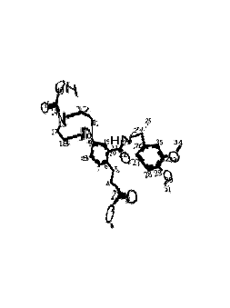 COC(=O)CCc1ccc(N2CCN(C(=O)O)CC2)cc1C(=O)N[C@H](C)c1ccc(OC)c(OC)c1